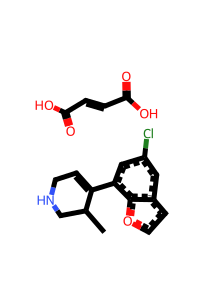 CC1CNCC=C1c1cc(Cl)cc2ccoc12.O=C(O)/C=C/C(=O)O